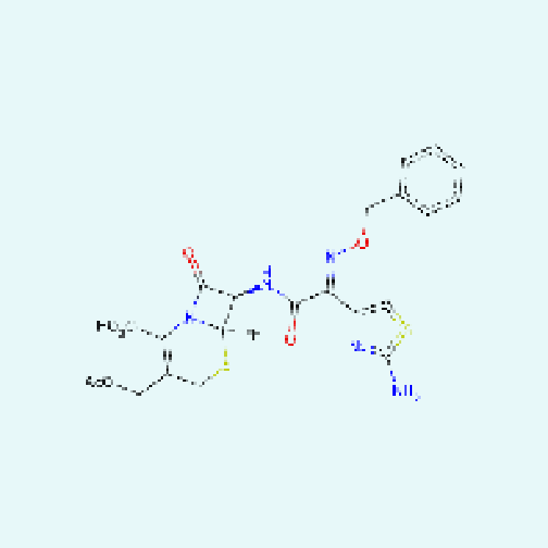 CC(=O)OCC1=C(C(=O)O)N2C(=O)[C@@H](NC(=O)C(=NOCc3ccccc3)c3csc(N)n3)[C@H]2SC1